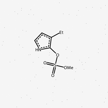 CCc1cc[nH]c1OS(=O)(=O)OC